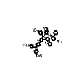 CC(C)(C)c1ccc(N2B3c4cc5sccc5cc4N(Cc4ccc(C(C)(C)C)cc4-c4ccccc4)c4cc5c(oc6ccccc65)c(c43)-c3cc4c(cc32)sc2cc(N(c3ccc(C(C)(C)C)cc3)c3ccc(C(C)(C)C)cc3)ccc24)cc1